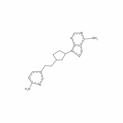 Nc1ccc(CCC2CCC(n3ccc4c(N)ncnc43)C2)cn1